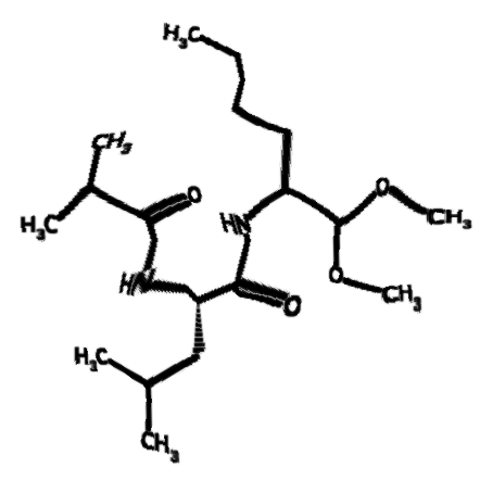 CCCCC(NC(=O)[C@H](CC(C)C)NC(=O)C(C)C)C(OC)OC